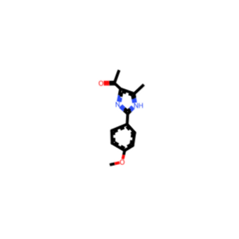 COc1ccc(-c2nc(C(C)=O)c(C)[nH]2)cc1